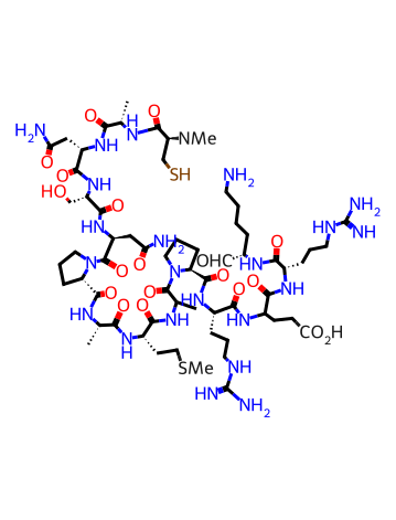 CN[C@@H](CS)C(=O)N[C@@H](C)C(=O)N[C@@H](CC(N)=O)C(=O)N[C@@H](CO)C(=O)N[C@@H](CC(N)=O)C(=O)N1CCC[C@H]1C(=O)N[C@@H](C)C(=O)N[C@@H](CCSC)C(=O)NC(C)C(=O)N1CCC[C@H]1C(=O)N[C@@H](CCCNC(=N)N)C(=O)NC(CCC(=O)O)C(=O)N[C@@H](CCCNC(=N)N)C(=O)N[C@H](C=O)CCCCN